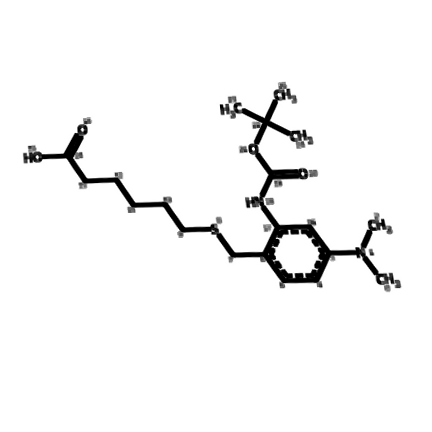 CN(C)c1ccc(CSCCCCCC(=O)O)c(NC(=O)OC(C)(C)C)c1